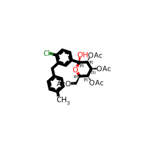 CC(=O)OC[C@H]1O[C@](O)(c2ccc(Cl)c(Cc3ccc(C)cc3)c2)[C@H](OC(C)=O)[C@@H](OC(C)=O)[C@@H]1OC(C)=O